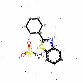 N[SH](=O)=O.c1ccc2sc(C3CCCCC3)nc2c1